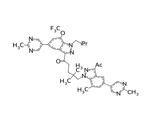 CC(=O)c1nn(CC(C)(C)CCC(=O)c2nn(CC(C)C)c3c(OC(F)(F)F)cc(-c4cnc(C)nc4)cc23)c2c(C)cc(-c3cnc(C)nc3)cc12